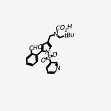 CC(C)(C)CN(Cc1cc(-c2ccccc2C=O)n(S(=O)(=O)c2cccnc2)c1)C(=O)O